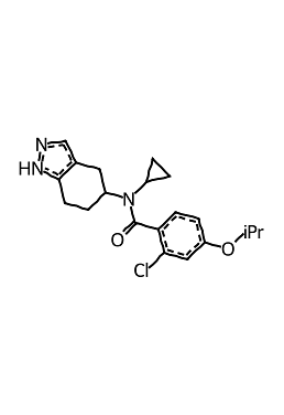 CC(C)Oc1ccc(C(=O)N(C2CC2)C2CCc3[nH]ncc3C2)c(Cl)c1